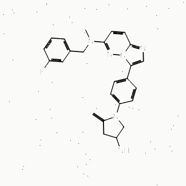 C=C1CC(N)CN1c1ccc(-c2cnc3ccc(N(C)Cc4cccc(F)c4)nn23)cc1